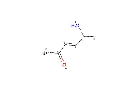 CC(N)/C=C/C(=O)C(C)C